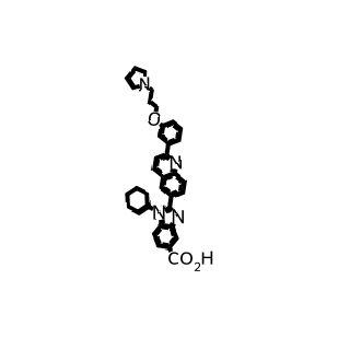 O=C(O)c1ccc2c(c1)nc(-c1ccc3nc(-c4cccc(OCCCN5CCCC5)c4)ccc3c1)n2C1CCCCC1